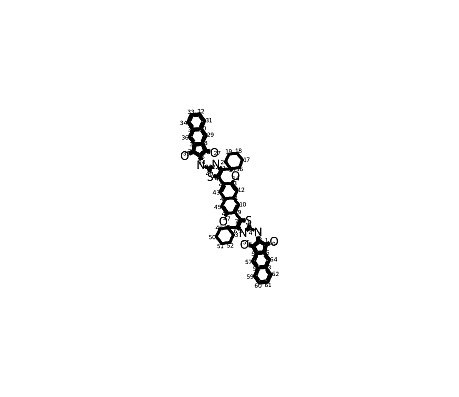 O=c1c(=Nc2nc3c(s2)C2=CC4C=C5OC6(CCCCC6)c6nc(N=c7c(=O)c8cc9ccccc9cc8c7=O)sc6C5=CC4C=C2OC32CCCCC2)c(=O)c2cc3ccccc3cc12